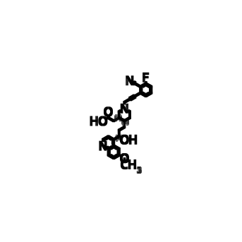 COc1ccc2nccc([C@H](O)CC[C@@H]3CCN(CC#Cc4cccc(F)c4C#N)C[C@@H]3CC(=O)O)c2c1